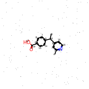 Cc1cc(C(C)c2ccc(C(=O)O)cc2)ccn1